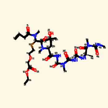 CCCC(=O)N(C)[C@H](SCCOCC(=O)OCC)C(=O)N(C)[C@@H](CC(C)(C)O)C(=O)NC(=O)N(C)C(=O)NC(=O)N[C@@H](C)C(=O)N(C)C(=O)NC